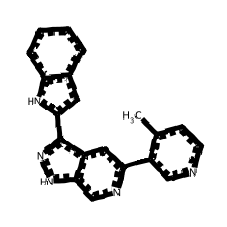 Cc1ccncc1-c1cc2c(-c3cc4ccccc4[nH]3)n[nH]c2cn1